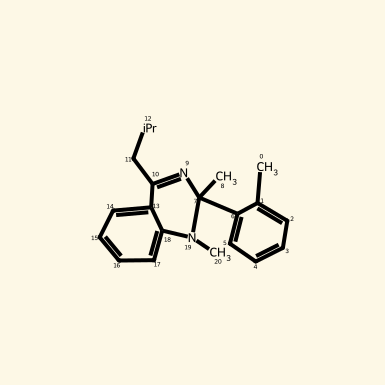 Cc1ccccc1C1(C)N=C(CC(C)C)c2ccccc2N1C